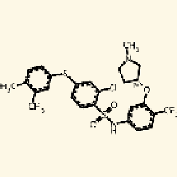 Cc1ccc(Sc2ccc(S(=O)(=O)Nc3ccc(C(F)(F)F)c(O[C@@H]4CCN(C)C4)c3)c(Cl)c2)cc1C